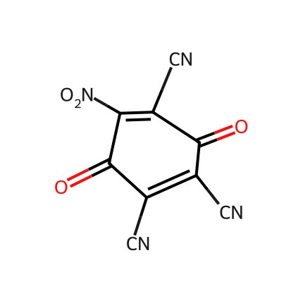 N#CC1=C(C#N)C(=O)C([N+](=O)[O-])=C(C#N)C1=O